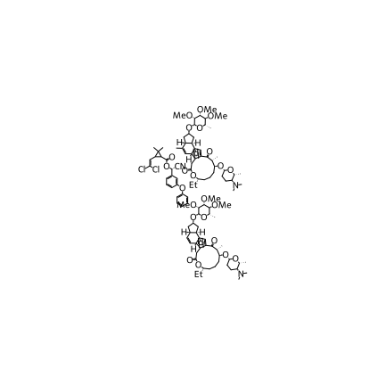 CC1(C)C(C=C(Cl)Cl)C1C(=O)O[C@H](C#N)c1cccc(Oc2ccccc2)c1.CC[C@H]1CCC[C@H](O[C@H]2CC[C@H](N(C)C)[C@@H](C)O2)[C@@H](C)C(=O)C2=C[C@@H]3[C@@H](C=C(C)[C@@H]4C[C@@H](O[C@@H]5O[C@@H](C)[C@H](OC)[C@@H](OC)[C@H]5OC)C[C@@H]34)[C@@H]2CC(=O)O1.CC[C@H]1CCC[C@H](O[C@H]2CC[C@H](N(C)C)[C@@H](C)O2)[C@@H](C)C(=O)C2=C[C@@H]3[C@@H](C=C[C@@H]4C[C@@H](O[C@@H]5O[C@@H](C)[C@H](OC)[C@@H](OC)[C@H]5OC)C[C@@H]34)[C@@H]2CC(=O)O1